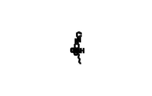 CCCCCCNC1([N+](=O)[O-])C=CC(/N=N/c2ccccc2)C=C1